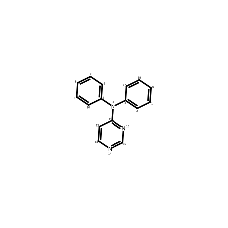 c1ccc(N(c2ccccc2)c2ccncn2)cc1